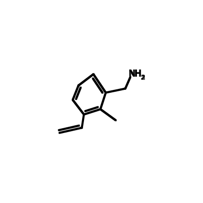 C=Cc1cccc(CN)c1C